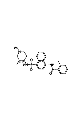 CC(=O)N1CC[C@@H](NS(=O)(=O)c2ccc(NC(=O)c3ccccc3C)c3ccccc23)[C@@H](C)C1